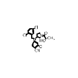 C[C@H](O)C(=O)N1CCC(N(Cc2cc(Cl)ccc2Cl)c2ccc(C#N)c(Cl)c2)C1